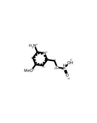 COc1cc(N)nc(CO[PH](=O)O)c1